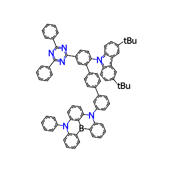 CC(C)(C)c1ccc2c(c1)c1cc(C(C)(C)C)ccc1n2-c1ccc(-c2nc(-c3ccccc3)nc(-c3ccccc3)n2)cc1-c1ccc(-c2cccc(N3c4ccccc4B4c5ccccc5N(c5ccccc5)c5cccc3c54)c2)cc1